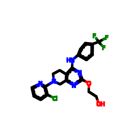 OCCOc1nc2c(c(Nc3ccc(C(F)(F)F)cc3)n1)CCN(c1ncccc1Cl)C2